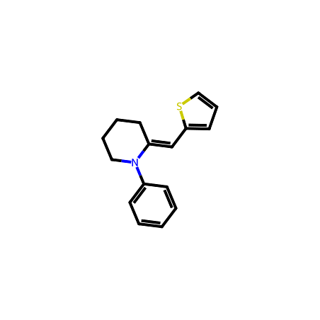 C(=C1CCCCN1c1ccccc1)c1cccs1